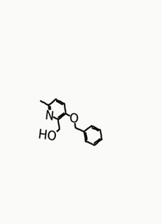 Cc1ccc(OCc2ccccc2)c(CO)n1